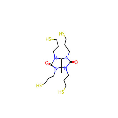 CC12C(N(CCCS)C(=O)N1CCCS)N(CCCS)C(=O)N2CCCS